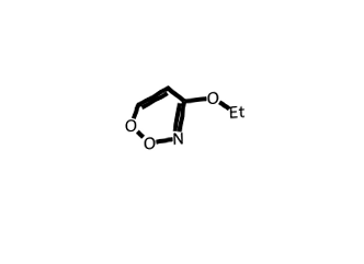 CCOC1=NOOC=C1